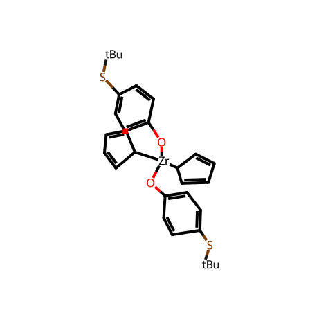 CC(C)(C)Sc1ccc([O][Zr]([O]c2ccc(SC(C)(C)C)cc2)([CH]2C=CC=C2)[CH]2C=CC=C2)cc1